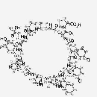 C[C@@H]1NC(=O)C[C@@H](C(=O)N2CCC[C@H]2C(=O)O)NC(=O)[C@H](Cc2ccc(Cl)cc2)N(C)C(=O)[C@H](Cc2ccc(Cl)cc2)N(C)C(=O)[C@H](Cc2c[nH]c3ccccc23)NC(=O)[C@H]([C@@H](C)O)NC(=O)[C@H]([C@@H](C)O)NC(=O)[C@H](Cc2cnc[nH]2)N(C)C(=O)[C@H](Cc2ccc(O)c(F)c2)NC(=O)[C@H](CCS(C)(=O)=O)NC(=O)[C@@H]2CCCN2C1=O